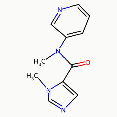 CN(C(=O)c1cncn1C)c1cccnc1